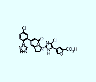 O=C(O)c1cc(-c2[nH]c([C@@H]3CCc4cc(-c5cc(Cl)ccc5-n5cnnn5)cc(=O)n43)nc2Cl)co1